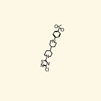 CS(=O)(=O)c1ccc(N2CCC(C3CCN(c4nc(Cl)ns4)CC3)CC2)cc1